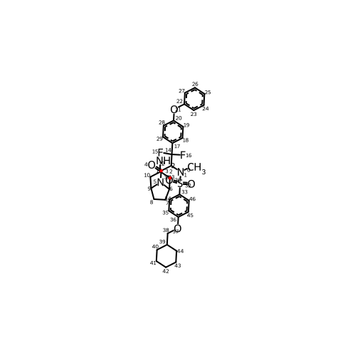 CN(C(C(=O)N1C2CCC1CC(N)C2)C(F)(F)c1ccc(Oc2ccccc2)cc1)S(=O)(=O)c1ccc(OCC2CCCCC2)cc1